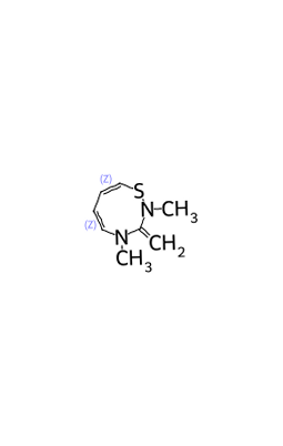 C=C1N(C)/C=C\C=C/SN1C